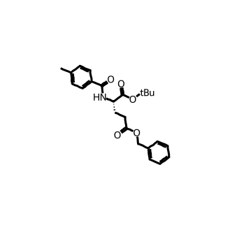 Cc1ccc(C(=O)N[C@@H](CCC(=O)OCc2ccccc2)C(=O)OC(C)(C)C)cc1